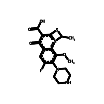 COc1c(N2CCNCC2)c(F)cc2c(=O)c(C(=O)O)c3n(c12)C(C)S3